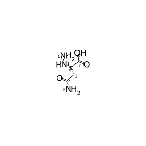 NN[C@@H](CC(N)=O)C(=O)O